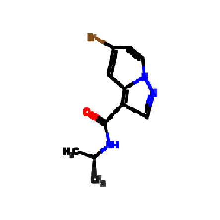 C[C@@H](NC(=O)c1cnn2ccc(Br)cc12)C(F)(F)F